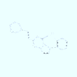 Cc1ccccc1-c1csc2nc(/C=C/c3cccnc3)cc(=O)n12